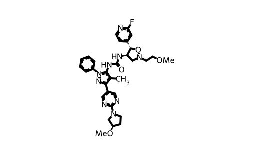 COCCN1C[C@@H](NC(=O)Nc2c(C)c(-c3cnc(N4CC[C@@H](OC)C4)nc3)nn2-c2ccccc2)[C@H](c2ccnc(F)c2)O1